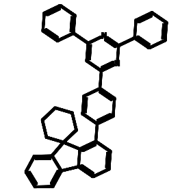 c1ccc(-c2cc(-c3ccc(-c4cccc5c4C4(CCCCC4)c4ccccc4-5)cc3)nc(-c3ccccc3)n2)cc1